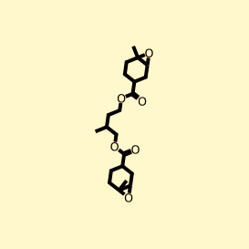 CC(CCOC(=O)C1CCC2(C)OC2C1)COC(=O)C1CCC2(C)OC2C1